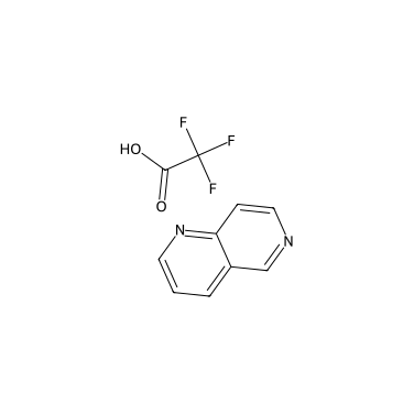 O=C(O)C(F)(F)F.c1cnc2ccncc2c1